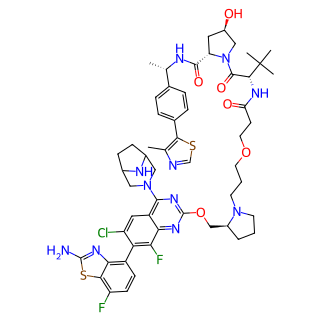 Cc1ncsc1-c1ccc([C@H](C)NC(=O)[C@@H]2C[C@@H](O)CN2C(=O)[C@@H](NC(=O)CCOCCCN2CCC[C@H]2COc2nc(N3CC4CCC(C3)N4)c3cc(Cl)c(-c4ccc(F)c5sc(N)nc45)c(F)c3n2)C(C)(C)C)cc1